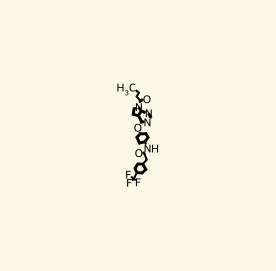 CCCC(=O)n1ccc2c(Oc3ccc(NC(=O)Cc4ccc(C(F)(F)F)cc4)cc3)ncnc21